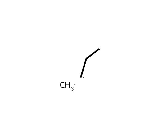 [CH2]CC.[CH3]